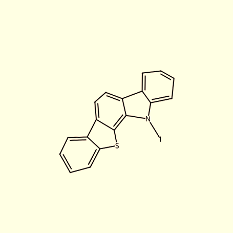 In1c2ccccc2c2ccc3c4ccccc4sc3c21